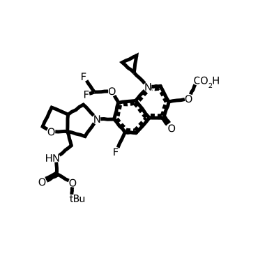 CC(C)(C)OC(=O)NCC12CN(c3c(F)cc4c(=O)c(OC(=O)O)cn(C5CC5)c4c3OC(F)F)CC1CCO2